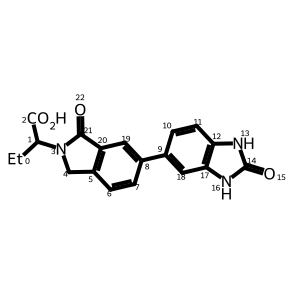 CCC(C(=O)O)N1Cc2ccc(-c3ccc4[nH]c(=O)[nH]c4c3)cc2C1=O